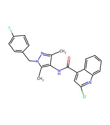 Cc1nn(Cc2ccc(F)cc2)c(C)c1NC(=O)c1cc(Cl)nc2ccccc12